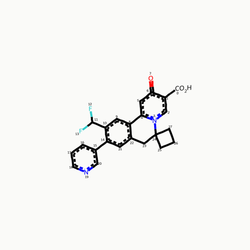 O=C(O)c1cn2c(cc1=O)-c1cc(C(F)F)c(-c3cccnc3)cc1CC21CCC1